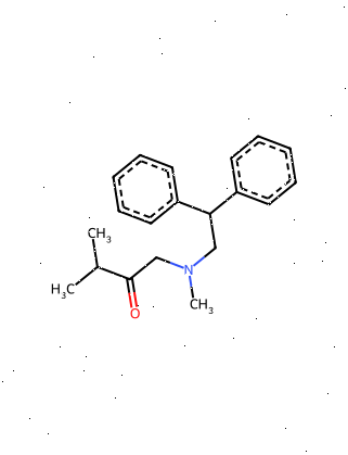 CC(C)C(=O)CN(C)CC(c1ccccc1)c1ccccc1